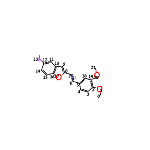 COc1ccc(/C=C/c2cc3cc(I)ccc3o2)cc1OC